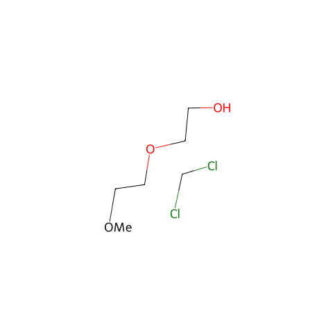 COCCOCCO.ClCCl